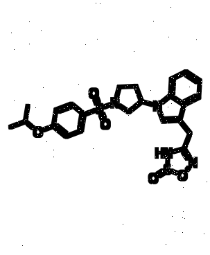 CC(C)Oc1ccc(S(=O)(=O)N2CCC(n3cc(CC4=NOS(=O)N4)c4ccccc43)C2)cc1